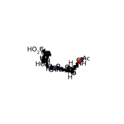 CCCCC[C@@H](CC[C@@H]1[C@H]2Cc3cccc(OCC(=O)O)c3C[C@H]2C[C@H]1O)OC(=O)/C=C/C(=O)NCCCCC1NC(=O)C(CCCCNC(=O)/C=C/C(C)=O)NC1=O